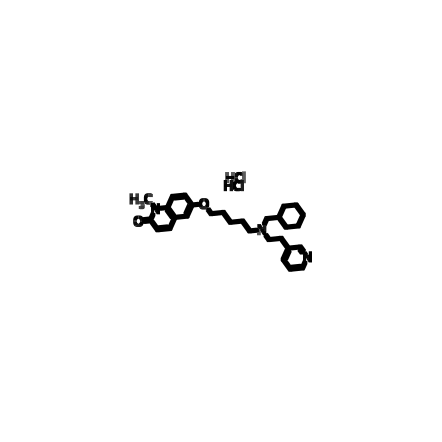 Cl.Cl.Cn1c(=O)ccc2cc(OCCCCCN(CCc3cccnc3)CC3CCCCC3)ccc21